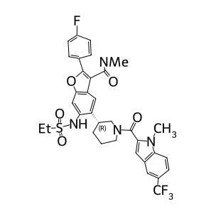 CCS(=O)(=O)Nc1cc2oc(-c3ccc(F)cc3)c(C(=O)NC)c2cc1[C@H]1CCCN(C(=O)c2cc3cc(C(F)(F)F)ccc3n2C)C1